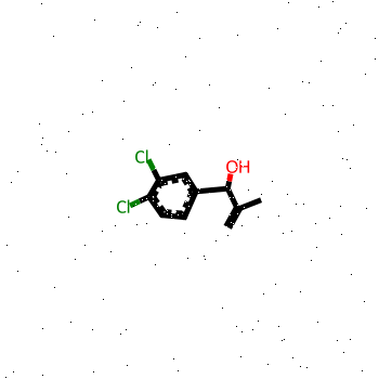 C=C(C)C(O)c1ccc(Cl)c(Cl)c1